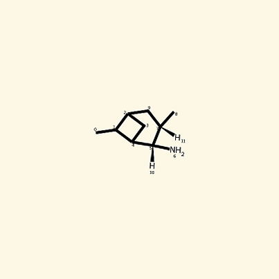 CC1C2CC1[C@@H](N)[C@@H](C)C2